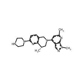 Cc1cc(N2Cc3ccc(N4CCNCC4)nc3[C@@H](C)C2)c2cnn(C)c2n1